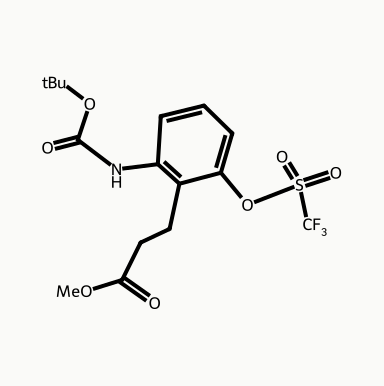 COC(=O)CCc1c(NC(=O)OC(C)(C)C)cccc1OS(=O)(=O)C(F)(F)F